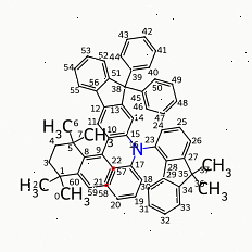 CC1(C)CCC(C)(C)c2c(-c3cc4c(cc3N(c3ccccc3)c3cccc5c3-c3ccccc3C5(C)C)C(c3ccccc3)(c3ccccc3)c3ccccc3-4)cccc21